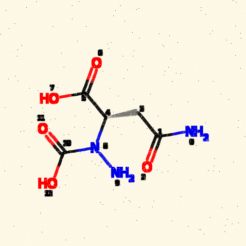 NC(=O)C[C@@H](C(=O)O)N(N)C(=O)O